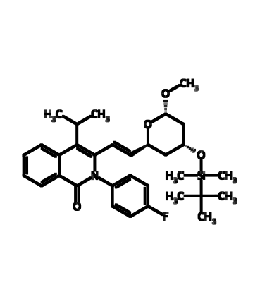 CO[C@@H]1C[C@H](O[Si](C)(C)C(C)(C)C)C[C@@H](/C=C/c2c(C(C)C)c3ccccc3c(=O)n2-c2ccc(F)cc2)O1